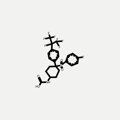 O=C(O)NC1CCC(c2ccc(C(F)(C(F)(F)F)C(F)(F)F)cc2)(S(=O)(=O)c2ccc(F)cc2)CC1